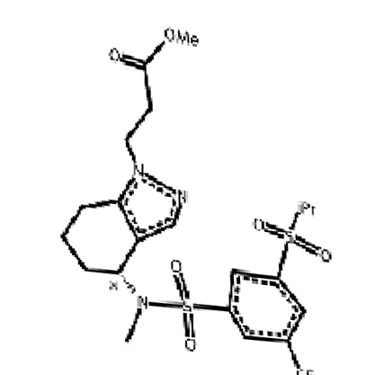 COC(=O)CCn1ncc2c1CCC[C@H]2N(C)S(=O)(=O)c1cc(C(F)(F)F)cc(S(=O)(=O)C(C)C)c1